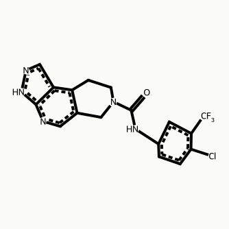 O=C(Nc1ccc(Cl)c(C(F)(F)F)c1)N1CCc2c(cnc3[nH]ncc23)C1